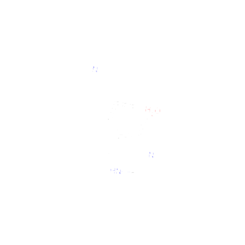 N#Cc1ccc2c(c1)CNC=N2.O